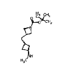 CNC1CC(CC2CN(C(=O)OC(C)(C)C)C2)C1